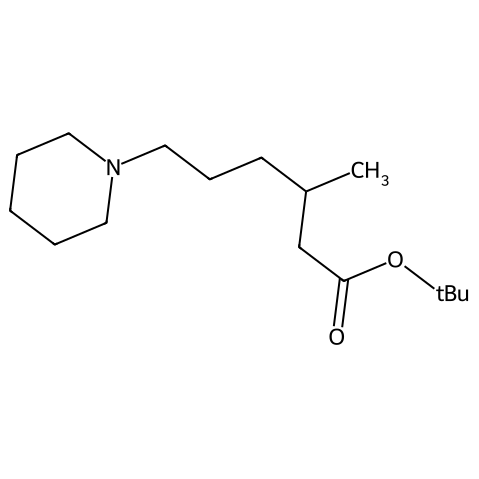 CC(CCCN1CCCCC1)CC(=O)OC(C)(C)C